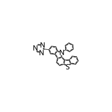 c1ccc(-n2c3ccc(-c4ncncn4)cc3c3ccc4sc5ccccc5c4c32)cc1